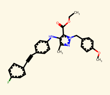 CCOC(=O)c1c(Nc2ccc(C#Cc3ccc(F)cc3)cc2)c(C)nn1Cc1ccc(OC)cc1